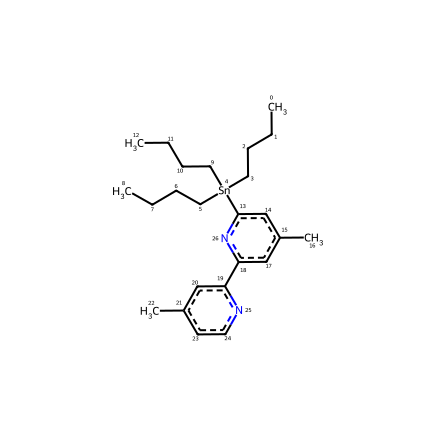 CCC[CH2][Sn]([CH2]CCC)([CH2]CCC)[c]1cc(C)cc(-c2cc(C)ccn2)n1